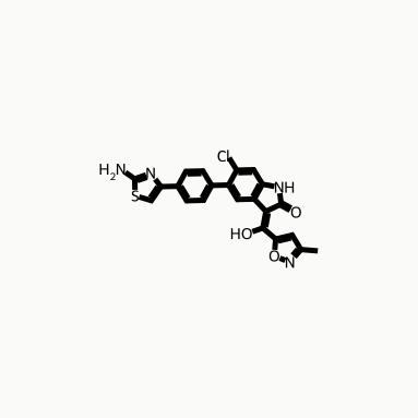 Cc1cc(C(O)=C2C(=O)Nc3cc(Cl)c(-c4ccc(-c5csc(N)n5)cc4)cc32)on1